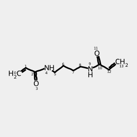 C=CC(=O)NCCCCNC(=O)C=C